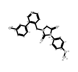 O=C1CN(Cc2ccncc2-c2cccc(Cl)c2)C(=O)N1c1ccc(OC(F)(F)F)cc1